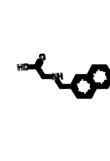 O=C(O)CNCc1ccc2ccccc2c1